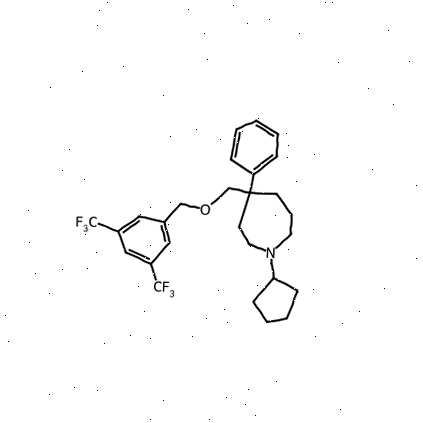 FC(F)(F)c1cc(COCC2(c3ccccc3)CCCN(C3CCCC3)CC2)cc(C(F)(F)F)c1